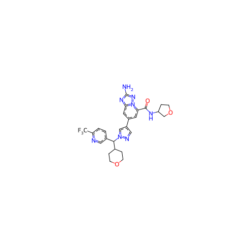 Nc1nc2cc(-c3cnn(C(c4ccc(C(F)(F)F)nc4)C4CCOCC4)c3)cc(C(=O)NC3CCOC3)n2n1